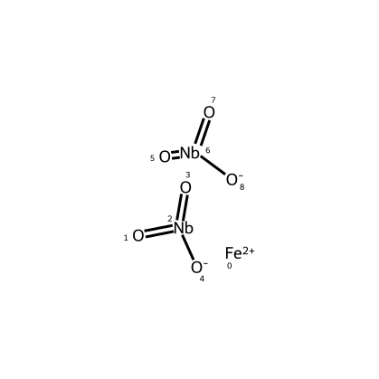 [Fe+2].[O]=[Nb](=[O])[O-].[O]=[Nb](=[O])[O-]